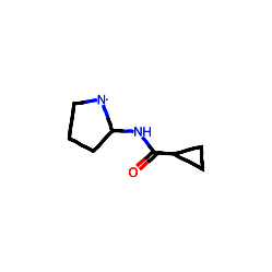 O=C(NC1CCC[N]1)C1CC1